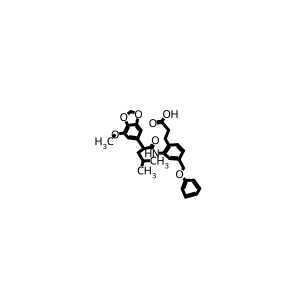 COc1cc(C(CC(C)C)C(=O)Nc2cc(COc3ccccc3)ccc2CCC(=O)O)cc2c1OCO2